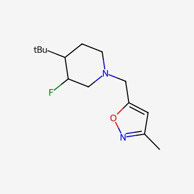 Cc1cc(CN2CCC(C(C)(C)C)C(F)C2)on1